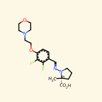 C[C@]1(C(=O)O)CCCN1N=Cc1ccc(OCCN2CCOCC2)c(F)c1F